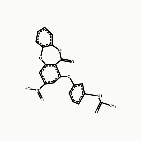 CC(=O)Nc1cccc(Oc2cc([N+](=O)O)cc3c2C(=O)Nc2ccccc2O3)c1